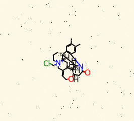 Cc1cc2c(cc1C)[C@@]13CCC[N+]4(CCl)CC5=CCO[C@H]6CC(=O)N2[C@H]1[C@H]6[C@H]5C[C@@H]34